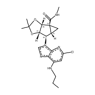 CCCNc1cc(Cl)nc2c1ncn2[C@H]1[C@@H]2OC(C)(C)O[C@@H]2[C@]2(C(=O)NC)C[C@H]12